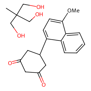 CC(CO)(CO)CO.COc1ccc(C2CC(=O)CC(=O)C2)c2ccccc12